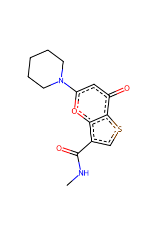 CNC(=O)c1csc2c(=O)cc(N3CCCCC3)oc12